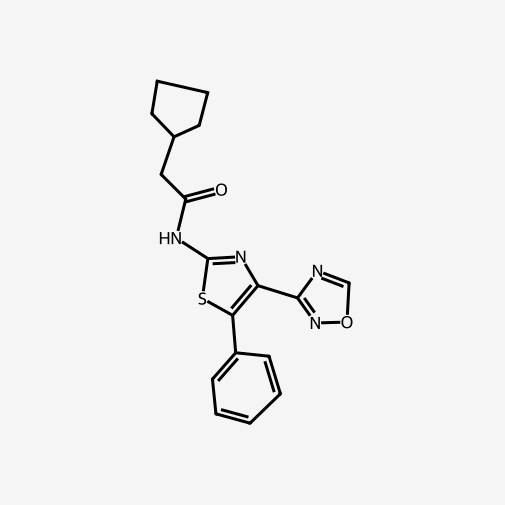 O=C(CC1CCCC1)Nc1nc(-c2ncon2)c(-c2ccccc2)s1